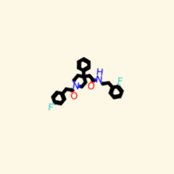 O=C(CC1(c2ccccc2)CCN(C(=O)Cc2ccc(F)cc2)CC1)NCCc1ccccc1F